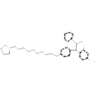 Oc1ccc2c(c1)OCC(c1ccccc1)C2c1ccc(CCCCCCCCCCN2CCCC2)cc1